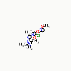 COc1cccc(COc2cc(C)n(-c3ccnc(-c4nc(C(C)C)ncc4C)c3)c(=O)c2Cl)n1